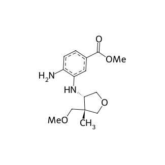 COC[C@@]1(C)COC[C@H]1Nc1cc(C(=O)OC)ccc1N